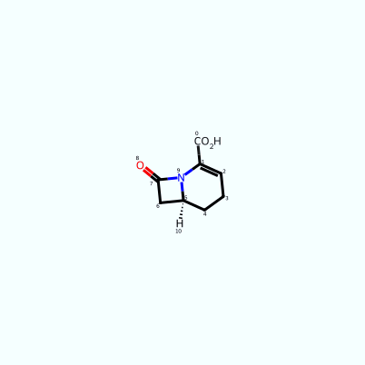 O=C(O)C1=CCC[C@H]2CC(=O)N12